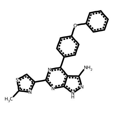 Cc1nc(-c2nc(-c3ccc(Oc4ccccc4)cc3)c3c(N)n[nH]c3n2)cs1